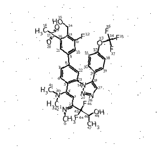 C/N=C(/C=C(/c1ccc(-c2cc(F)c(CO)c(S(C)(=O)=O)c2)cc1-n1nncc1-c1ccc(OC(F)(F)F)cc1)N(C)C)C(F)(F)C(C)O